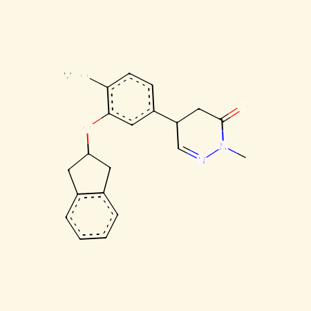 COc1ccc(C2C=NN(C)C(=O)C2)cc1OC1Cc2ccccc2C1